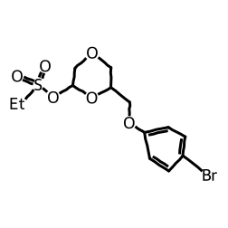 CCS(=O)(=O)OC1COCC(COc2ccc(Br)cc2)O1